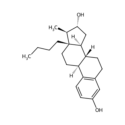 CCCC[C@]12CC[C@@H]3c4ccc(O)cc4CC[C@H]3[C@@H]1C[C@@H](O)[C@@H]2C